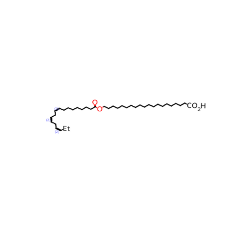 CC/C=C\C/C=C\C/C=C\CCCCCCCC(=O)OCCCCCCCCCCCCCCCCCCCC(=O)O